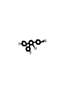 N#Cc1ccc(-c2[c]cc(-c3ccc(F)cc3)c(-c3cccc(F)c3)c2C#N)cc1